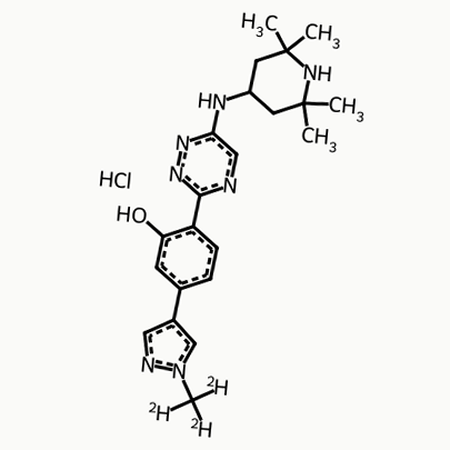 Cl.[2H]C([2H])([2H])n1cc(-c2ccc(-c3ncc(NC4CC(C)(C)NC(C)(C)C4)nn3)c(O)c2)cn1